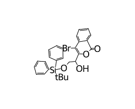 CC(C)(C)[Si](OCC(O)c1oc(=O)c2ccccc2c1Br)(c1ccccc1)c1ccccc1